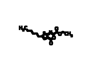 CCCCCCc1cc2c(=O)oc(C(=O)OCC)nc2s1